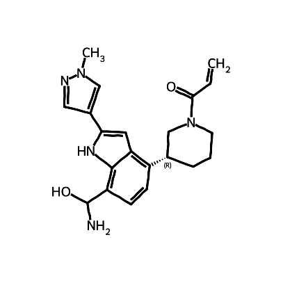 C=CC(=O)N1CCC[C@H](c2ccc(C(N)O)c3[nH]c(-c4cnn(C)c4)cc23)C1